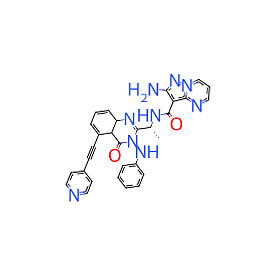 C[C@@H](NC(=O)c1c(N)nn2cccnc12)C1=NC2C=CC=C(C#Cc3ccncc3)C2C(=O)N1Nc1ccccc1